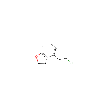 C/C=C(/CCCl)C1=C(C)OCC1